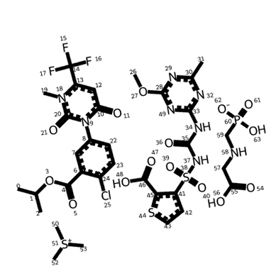 CC(C)OC(=O)c1cc(-n2c(=O)cc(C(F)(F)F)n(C)c2=O)ccc1Cl.COc1nc(C)nc(NC(=O)NS(=O)(=O)c2ccsc2C(=O)O)n1.C[S+](C)C.O=C(O)CNCP(=O)([O-])O